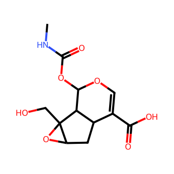 CNC(=O)OC1OC=C(C(=O)O)C2CC3OC3(CO)C12